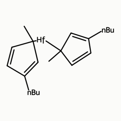 CCCCC1=C[C](C)([Hf][C]2(C)C=CC(CCCC)=C2)C=C1